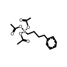 CC(=O)O[Si](CCCCc1ccccc1)(OC(C)=O)OC(C)=O